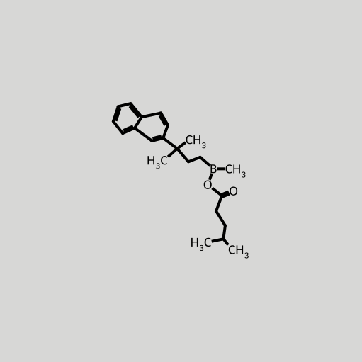 CB(CCC(C)(C)c1ccc2ccccc2c1)OC(=O)CCC(C)C